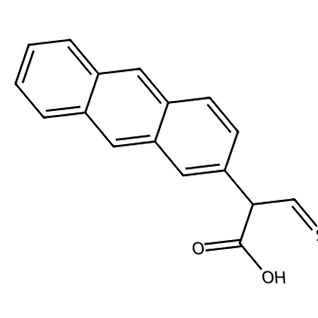 O=C(O)C(C=S)c1ccc2cc3ccccc3cc2c1